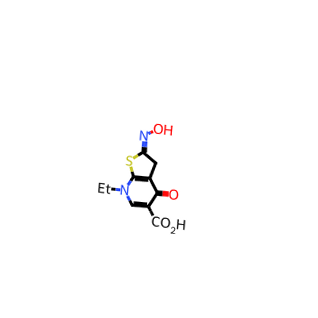 CCn1cc(C(=O)O)c(=O)c2c1S/C(=N/O)C2